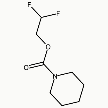 O=C(OCC(F)F)N1CCCCC1